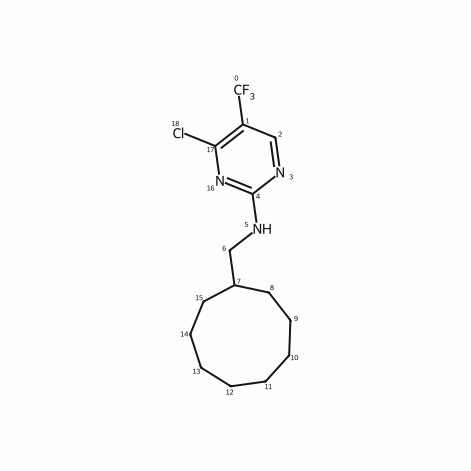 FC(F)(F)c1cnc(NCC2CCCCCCCC2)nc1Cl